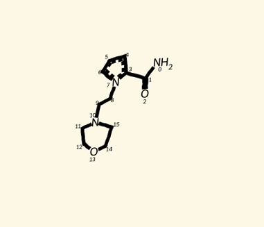 NC(=O)c1cccn1CCN1CCOCC1